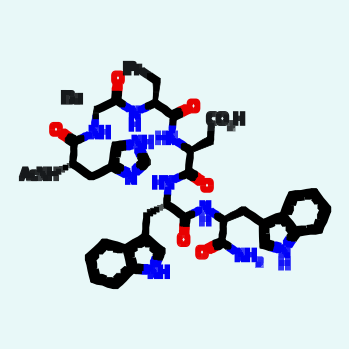 CC[C@H](C)[C@H](NC(=O)[C@H](Cc1c[nH]cn1)NC(C)=O)C(=O)N[C@@H](CC(C)C)C(=O)N[C@@H](CC(=O)O)C(=O)N[C@@H](Cc1c[nH]c2ccccc12)C(=O)N[C@@H](Cc1c[nH]c2ccccc12)C(N)=O